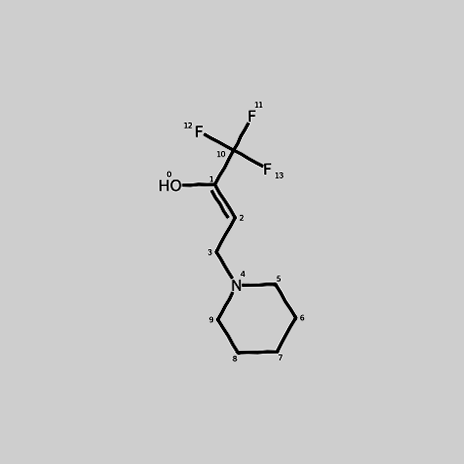 OC(=CCN1CCCCC1)C(F)(F)F